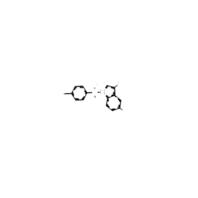 O=C(O)c1cn(S(=O)(=O)c2ccc(Cl)cc2)c2ccc(Cl)cc12